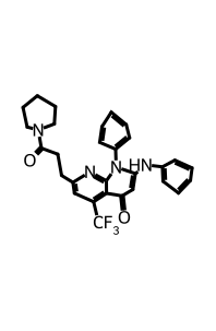 O=C(CCc1cc(C(F)(F)F)c2c(=O)cc(Nc3ccccc3)n(-c3ccccc3)c2n1)N1CCCCC1